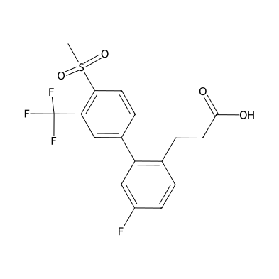 CS(=O)(=O)c1ccc(-c2cc(F)ccc2CCC(=O)O)cc1C(F)(F)F